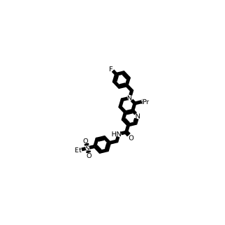 CCS(=O)(=O)c1ccc(CNC(=O)c2cnc3c(c2)CCN(Cc2ccc(F)cc2)C3C(C)C)cc1